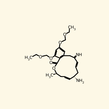 CCOCOc1cc2c(c(OCOCC)c1)C(=O)O[C@H](C)C/C=C/[C@@H](N)C/C=C/C(=N)C2